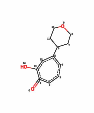 O=c1cccc(C2CCOCC2)cc1O